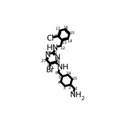 NCC1CCC(CNc2nc(NCc3ccccc3Cl)ncc2Br)CC1